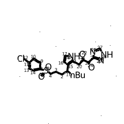 CCCCC(CCCS(=O)(=O)c1ccc(Cl)cc1)c1cc[nH]c1CC(=O)C(=O)c1nc[nH]n1